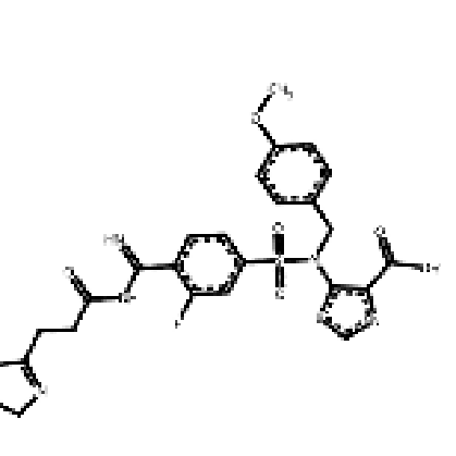 COc1ccc(CN(c2scnc2C(=O)O)S(=O)(=O)c2ccc(C(=N)NC(=O)CCC3=NCCN3)c(F)c2)cc1